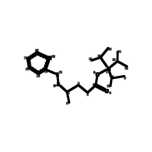 CC(CCC(=O)O[Si](C(C)C)(C(C)C)C(C)C)SSc1ccccn1